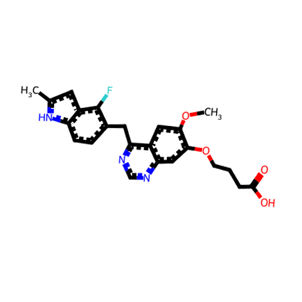 COc1cc2c(Cc3ccc4[nH]c(C)cc4c3F)ncnc2cc1OCCCC(=O)O